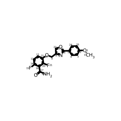 COc1ccc(-c2nc(COc3ccc(F)c(C(N)=O)c3F)co2)cc1